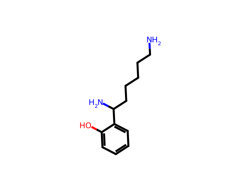 NCCCCCC(N)c1ccccc1O